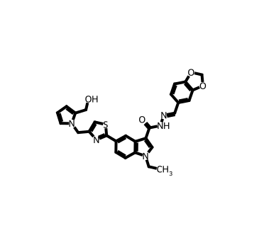 CCn1cc(C(=O)N/N=C/c2ccc3c(c2)OCO3)c2cc(-c3nc(Cn4cccc4CO)cs3)ccc21